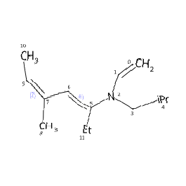 C=CN(CC(C)C)/C(=C/C(C)=C\C)CC